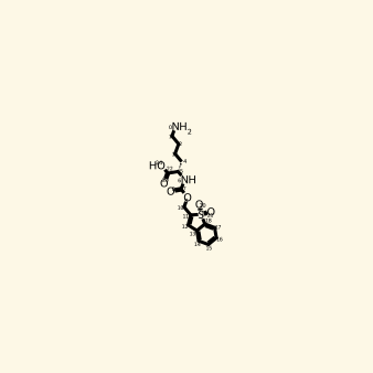 NCCCC[C@H](NC(=O)OCC1=Cc2ccccc2S1(=O)=O)C(=O)O